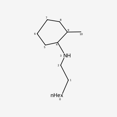 CCCCCCCCNC1CCCCC1C